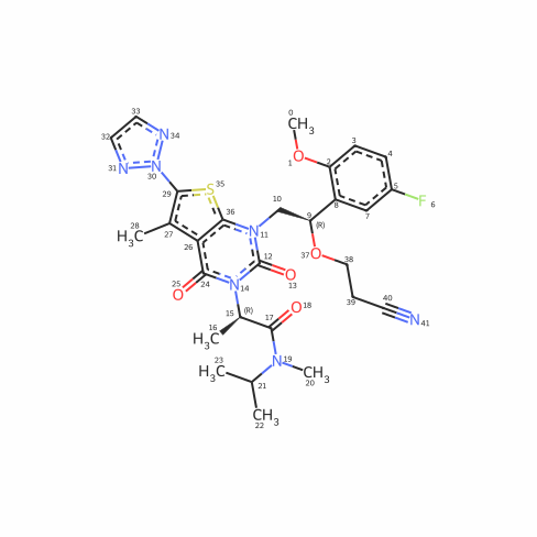 COc1ccc(F)cc1[C@H](Cn1c(=O)n([C@H](C)C(=O)N(C)C(C)C)c(=O)c2c(C)c(-n3nccn3)sc21)OCCC#N